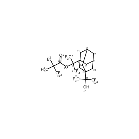 CCC(C)(C(=O)OC(C(F)(F)F)(C(F)(F)F)C12CC3CC(CC(C(O)(C(F)(F)F)C(F)(F)F)(C3)C1)C2)C(F)(F)F